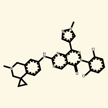 CN1Cc2cc(Nc3ncc4c(=O)n(-c5c(Cl)cccc5Cl)nc(-c5cnn(C)c5)c4n3)ccc2C2(CC2)C1